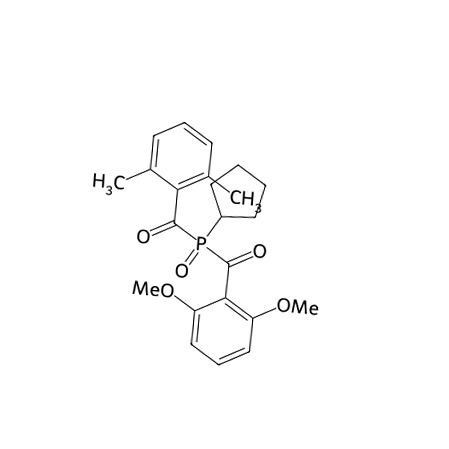 COc1cccc(OC)c1C(=O)P(=O)(C(=O)c1c(C)cccc1C)C1CCCC1